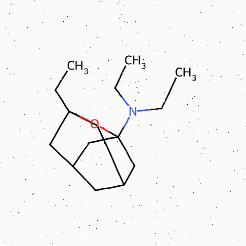 CCN(CC)C12CC3CC(CC(CC)(C3)O1)C2